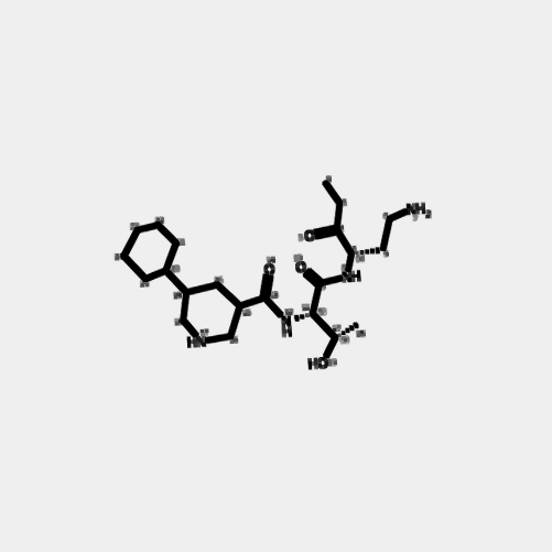 CCC(=O)[C@H](CCN)NC(=O)[C@@H](NC(=O)C1CNCC(C2CCCCC2)C1)[C@H](C)O